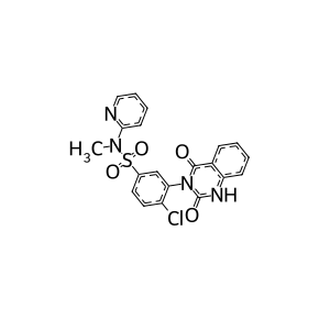 CN(c1ccccn1)S(=O)(=O)c1ccc(Cl)c(-n2c(=O)[nH]c3ccccc3c2=O)c1